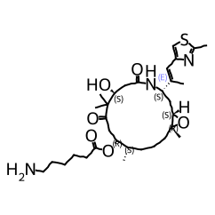 C/C(=C\c1csc(C)n1)[C@@H]1C[C@@H]2O[C@]2(C)CCC[C@H](C)[C@H](OC(=O)CCCCCN)CC(=O)C(C)(C)[C@@H](O)CC(=O)N1